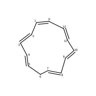 C1=C\C=C\C=C\C/C=C/C=C/C=C/1